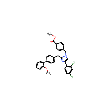 COC(=O)c1ccc(Cn2cc(-c3ccc(Cl)cc3Cl)nc2Cc2ccc(-c3ccccc3OC)cc2)cc1